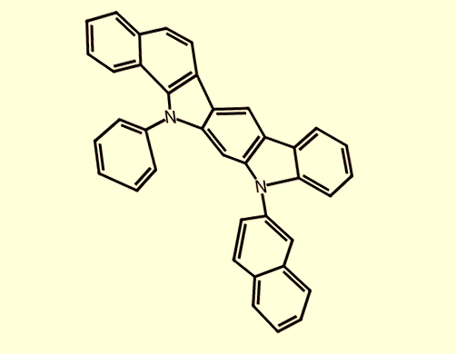 c1ccc(-n2c3cc4c(cc3c3ccc5ccccc5c32)c2ccccc2n4-c2ccc3ccccc3c2)cc1